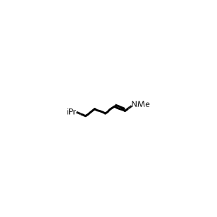 CNC=CCCCC(C)C